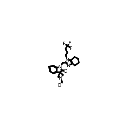 O=CN1CC2(C1)C(=O)N(Cc1nc3c(n1CCCC(F)(F)F)CCCC3)c1ccccc12